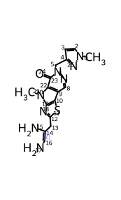 Cn1ccc(Cn2ncc3c4sc(C/C(N)=C/N)nc4n(C)c3c2=O)n1